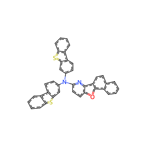 c1ccc2c(c1)ccc1c3nc(N(c4ccc5c(c4)sc4ccccc45)c4ccc5c(c4)sc4ccccc45)ccc3oc21